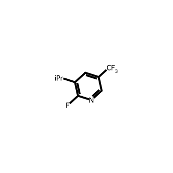 CC(C)c1cc(C(F)(F)F)cnc1F